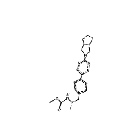 COC(=O)NC(C)Cc1ccc(-c2cnc(N3CC4CCCC4C3)nc2)cc1